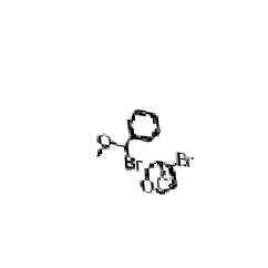 Brc1cc2ccc1CO2.COC(Br)c1ccccc1